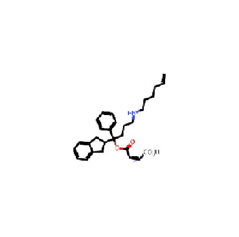 C=CCCCCNCCCC(OC(=O)/C=C\C(=O)O)(c1ccccc1)C1Cc2ccccc2C1